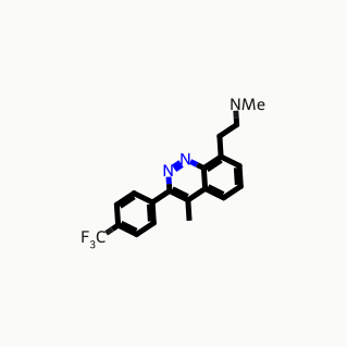 CNCCc1cccc2c(C)c(-c3ccc(C(F)(F)F)cc3)nnc12